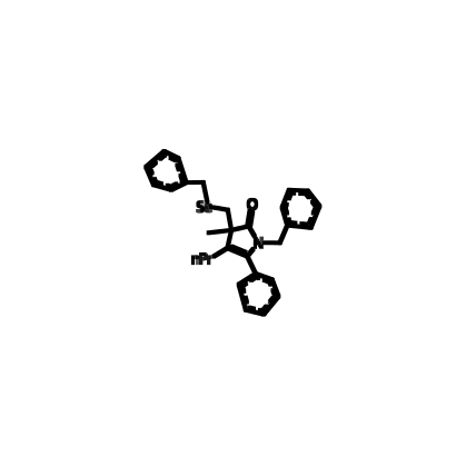 CCCC1=C(c2ccccc2)N(Cc2ccccc2)C(=O)C1(C)C[Se]Cc1ccccc1